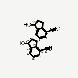 N#Cc1cccc2c1CCC2O.N#Cc1cccc2c1CCC2O